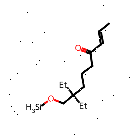 CC=CC(=O)CCCC(CC)(CC)CO[SiH3]